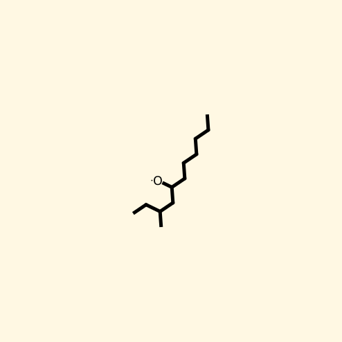 CCCCCCC([O])CC(C)CC